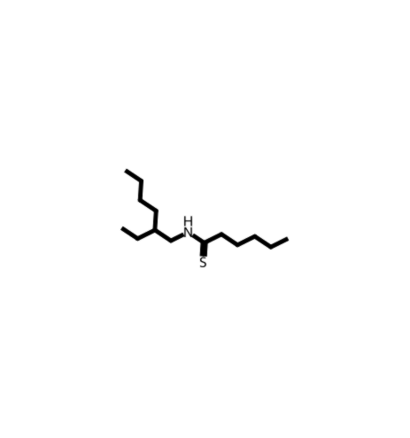 CCCCCC(=S)NCC(CC)CCCC